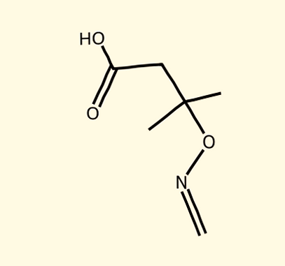 C=NOC(C)(C)CC(=O)O